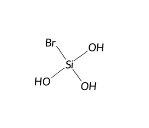 O[Si](O)(O)Br